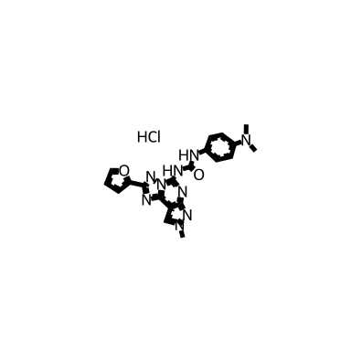 CN(C)c1ccc(NC(=O)Nc2nc3nn(C)cc3c3nc(-c4ccco4)nn23)cc1.Cl